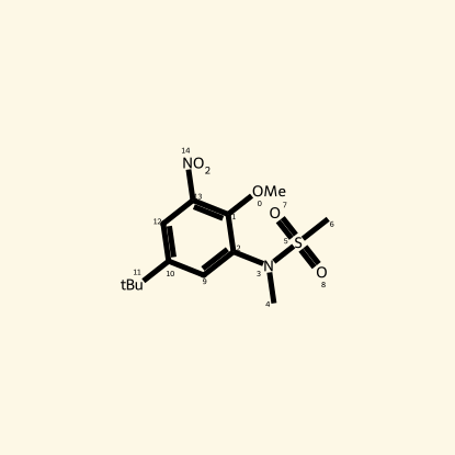 COc1c(N(C)S(C)(=O)=O)cc(C(C)(C)C)cc1[N+](=O)[O-]